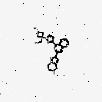 N#CC[C@]1(n2ccc(-c3nc(-c4cc5n(n4)CCNC5)cc4ncccc34)n2)C[C@@H](C#N)C1